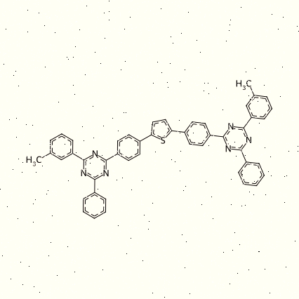 Cc1cccc(-c2nc(-c3ccccc3)nc(-c3ccc(-c4ccc(-c5ccc(-c6nc(-c7ccccc7)nc(-c7cccc(C)c7)n6)cc5)s4)cc3)n2)c1